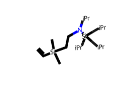 C=C[Si](C)(C)CCN(C(C)C)[Si](C(C)C)(C(C)C)C(C)C